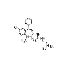 CCN(CC)CCNC(=S)NC1N=C(c2ccccc2)c2cc(Cl)ccc2N(C)C1=O